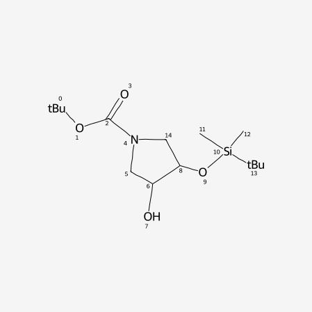 CC(C)(C)OC(=O)N1CC(O)C(O[Si](C)(C)C(C)(C)C)C1